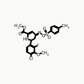 COC(=O)C1=CC(=NOS(=O)(=O)c2ccc(C)cc2)CC(c2ccc(Cl)c(OC)c2F)N1